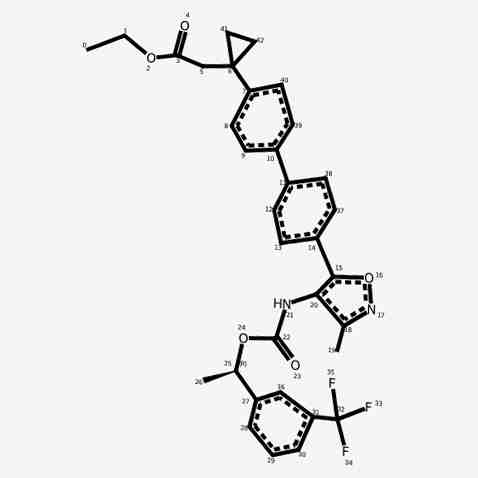 CCOC(=O)CC1(c2ccc(-c3ccc(-c4onc(C)c4NC(=O)O[C@H](C)c4cccc(C(F)(F)F)c4)cc3)cc2)CC1